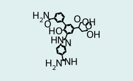 N=C(N)c1ccc2[nH]c(-c3cc(C(CC(=O)O)C(=O)O)cc(-c4cccc(C(N)=O)c4)c3O)nc2c1